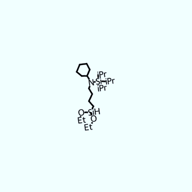 CCO[SiH](CCCCN(C1CCCCC1)[Si](C(C)C)(C(C)C)C(C)C)OCC